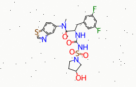 CN(C(=O)C(Cc1cc(F)cc(F)c1)NC(=O)NS(=O)(=O)N1CC[C@H](O)C1)c1ccc2scnc2c1